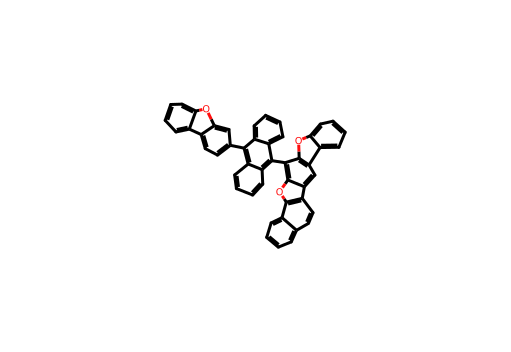 c1ccc2c(c1)ccc1c3cc4c(oc5ccccc54)c(-c4c5ccccc5c(-c5ccc6c(c5)oc5ccccc56)c5ccccc45)c3oc21